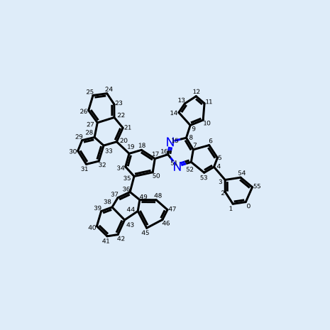 c1ccc(-c2ccc3c(-c4ccccc4)nc(-c4cc(-c5cc6ccccc6c6ccccc56)cc(-c5cc6ccccc6c6ccccc56)c4)nc3c2)cc1